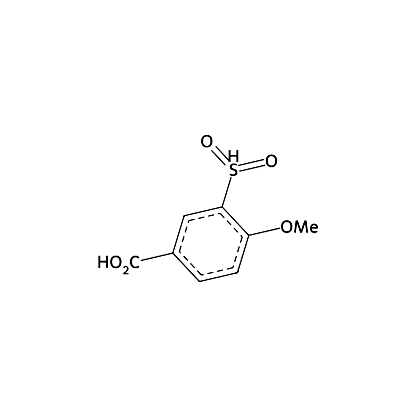 COc1ccc(C(=O)O)cc1[SH](=O)=O